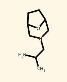 CC(N)CN1CC2CCC(C1)O2